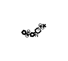 CN1c2ccc(S(=O)(=O)c3ccccc3)cc2C2CCN(C(=O)OC(C)(C)C)CCC21